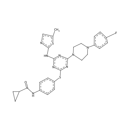 Cc1cnc(Nc2nc(Sc3ccc(NC(=O)C4CC4)cc3)nc(N3CCN(c4ccc(F)cc4)CC3)n2)s1